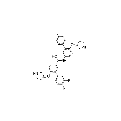 OC(Nc1cnc(O[C@H]2CCNC2)c(-c2ccc(F)cc2)c1)c1ccc(O[C@H]2CCNC2)c(-c2ccc(F)c(F)c2)c1